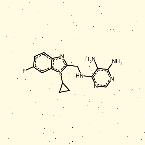 Nc1ncnc(NCc2nc3ccc(F)cc3n2C2CC2)c1N